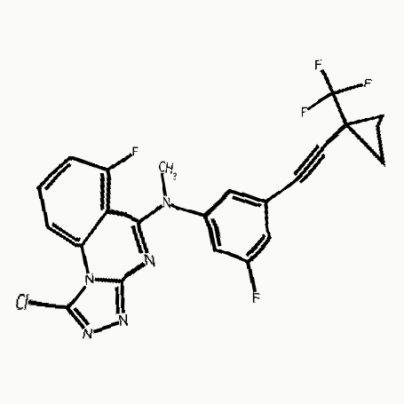 CN(c1cc(F)cc(C#CC2(C(F)(F)F)CC2)c1)c1nc2nnc(Cl)n2c2cccc(F)c12